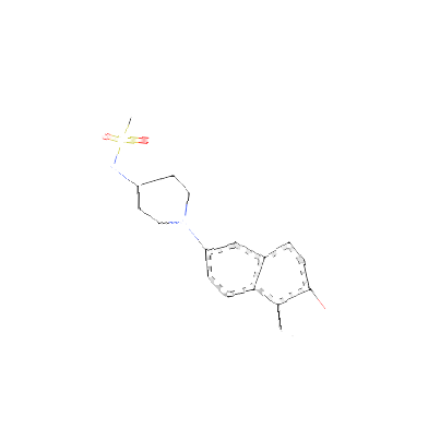 CS(=O)(=O)NC1CCN(c2ccc3c(C=O)c(O)ccc3c2)CC1